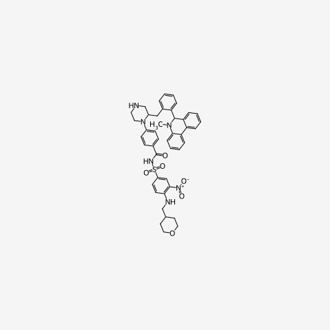 CN1c2ccccc2-c2ccccc2C1c1ccccc1CC1CNCCN1c1ccc(C(=O)NS(=O)(=O)c2ccc(NCC3CCOCC3)c([N+](=O)[O-])c2)cc1